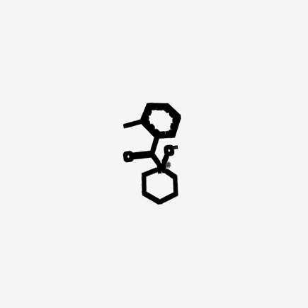 Cc1ccccc1C(=O)[N+]1([O-])CCCCC1